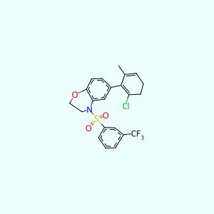 CC1=CCCC(Cl)=C1c1ccc2c(c1)N(S(=O)(=O)c1cccc(C(F)(F)F)c1)CCO2